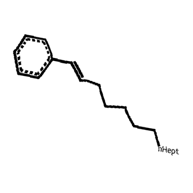 CCCCCCCCCCCCC=Cc1ccccc1